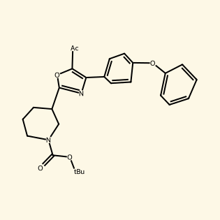 CC(=O)c1oc(C2CCCN(C(=O)OC(C)(C)C)C2)nc1-c1ccc(Oc2ccccc2)cc1